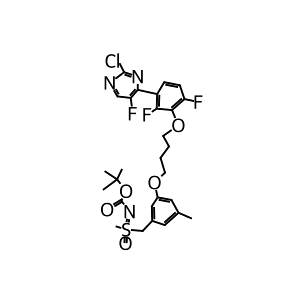 Cc1cc(CS(C)(=O)=NC(=O)OC(C)(C)C)cc(OCCCCOc2c(F)ccc(-c3nc(Cl)ncc3F)c2F)c1